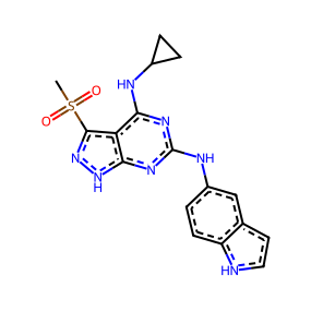 CS(=O)(=O)c1n[nH]c2nc(Nc3ccc4[nH]ccc4c3)nc(NC3CC3)c12